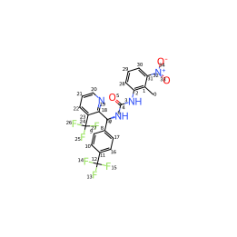 Cc1c(NC(=O)N[C@@H](c2ccc(C(F)(F)F)cc2)c2ncccc2C(F)(F)F)cccc1[N+](=O)[O-]